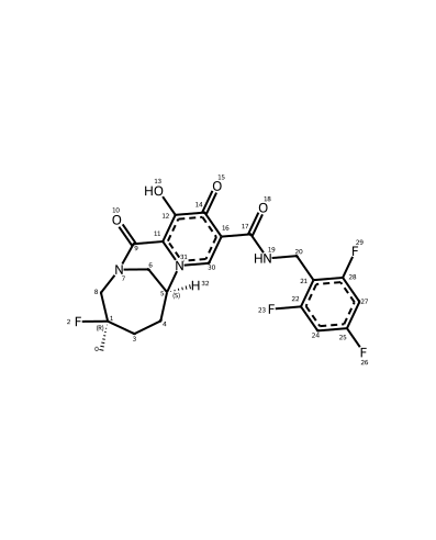 C[C@@]1(F)CC[C@H]2CN(C1)C(=O)c1c(O)c(=O)c(C(=O)NCc3c(F)cc(F)cc3F)cn12